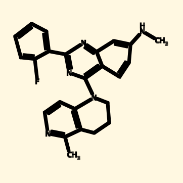 CNc1ccc2c(N3CCCc4c3ccnc4C)nc(-c3ccccc3F)nc2c1